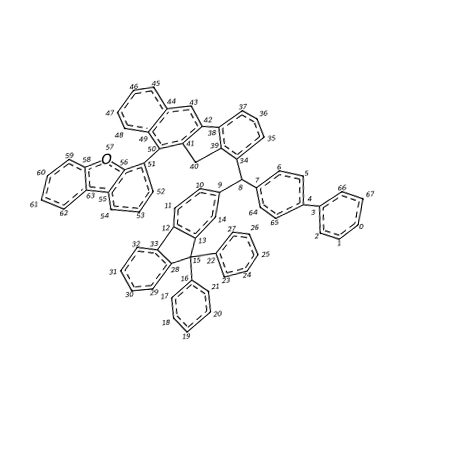 c1ccc(-c2ccc(C(c3ccc4c(c3)C(c3ccccc3)(c3ccccc3)c3ccccc3-4)c3cccc4c3Cc3c-4cc4ccccc4c3-c3cccc4c3oc3ccccc34)cc2)cc1